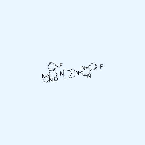 O=C(c1c(F)cccc1-n1nccn1)N1CC2CC(C1)CN(c1cnc3cc(F)ccc3n1)C2